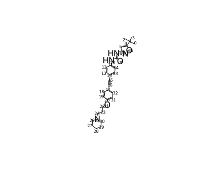 CC(C)(C)c1cc(NC(=O)Nc2ccc(C#Cc3ccc(OCCCN4CCCCC4)cc3)cc2)no1